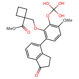 COC(=O)C1(COc2c(-c3cccc4c3CCC4=O)ccc(OC)c2OC(O)(O)O)CCC1